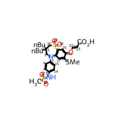 CCCCC1(CCCC)CN(c2ccc(NS(C)(=O)=O)cc2)c2cc(SC)c(O/C=C/C(=O)O)cc2S(=O)(=O)C1